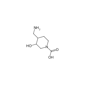 NCC1CCN(C(=O)O)CC1O